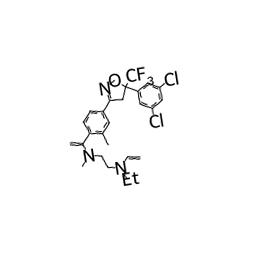 C=CN(CC)CCN(C)C(=C)c1ccc(C2=NOC(c3cc(Cl)cc(Cl)c3)(C(F)(F)F)C2)cc1C